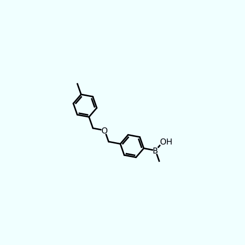 CB(O)c1ccc(COCc2ccc(C)cc2)cc1